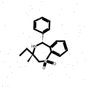 CC[C@@]1(C)CS(=O)(=O)c2ccccc2[C@@H](c2ccccc2)N1